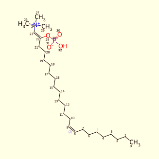 CCCCCCCC/C=C\CCCCCCCCCCCCC(=C[N+](C)(C)C)OP(=O)([O-])O